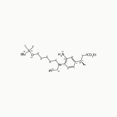 CCOC(=O)C[C@@H](C)c1ccc(N(CCCCCO[Si](C)(C)C(C)(C)C)CC(C)C)c(N)c1